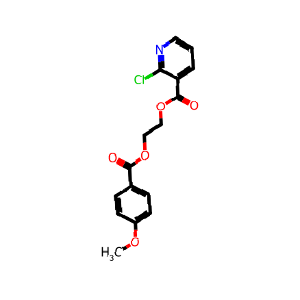 COc1ccc(C(=O)OCCOC(=O)c2cccnc2Cl)cc1